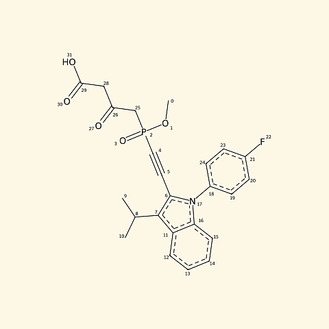 COP(=O)(C#Cc1c(C(C)C)c2ccccc2n1-c1ccc(F)cc1)CC(=O)CC(=O)O